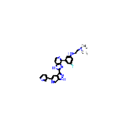 CN(C)CCNc1cc(F)cc(-c2nccc3[nH]c(-c4n[nH]c5cnc(-c6cccnc6)cc45)nc23)c1